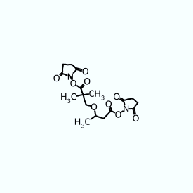 CC(CC(=O)ON1C(=O)CCC1=O)OCC(C)(C)C(=O)ON1C(=O)CCC1=O